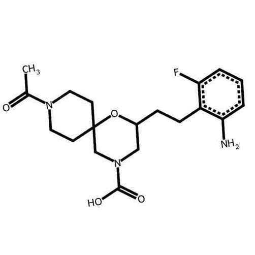 CC(=O)N1CCC2(CC1)CN(C(=O)O)CC(CCc1c(N)cccc1F)O2